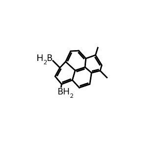 Bc1cc(B)c2ccc3c(C)cc(C)c4ccc1c2c43